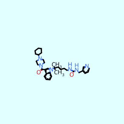 CC(C)(CCCCNC(=O)NCc1cccnc1)n1cc(C(=O)N2CCN(C3CCCCC3)CC2)c2ccccc21